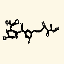 CCc1cnc(Nc2cc(F)cc(CCNC(=O)C(C)NC)c2)c(C(N)=O)n1